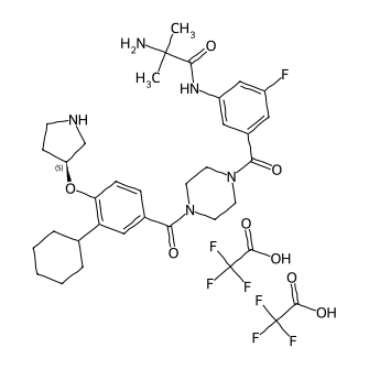 CC(C)(N)C(=O)Nc1cc(F)cc(C(=O)N2CCN(C(=O)c3ccc(O[C@H]4CCNC4)c(C4CCCCC4)c3)CC2)c1.O=C(O)C(F)(F)F.O=C(O)C(F)(F)F